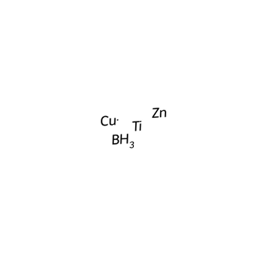 B.[Cu].[Ti].[Zn]